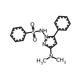 CN(C)c1cc(-c2ccccc2)n(NS(=O)(=O)c2ccccc2)n1